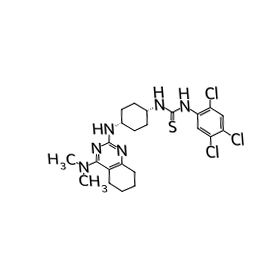 CN(C)c1nc(N[C@H]2CC[C@@H](NC(=S)Nc3cc(Cl)c(Cl)cc3Cl)CC2)nc2c1CCCC2